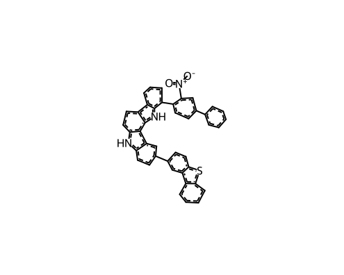 O=[N+]([O-])c1cc(-c2ccccc2)ccc1-c1cccc2c1[nH]c1c2ccc2[nH]c3ccc(-c4ccc5sc6ccccc6c5c4)cc3c21